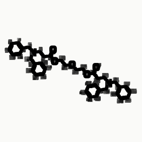 O=C(CCN(Cc1ccccc1)Cc1ccccc1)OCCOCCOC(=O)CCN(Cc1ccccc1)Cc1ccccc1